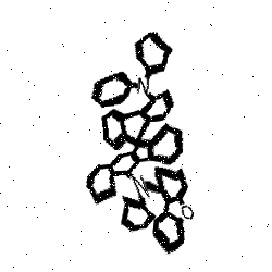 c1ccc(N(c2ccccc2)c2cccc3c2-c2ccccc2C32c3ccccc3-c3c2cc2ccccc2c3N(c2ccccc2)c2cccc3oc4ccccc4c23)cc1